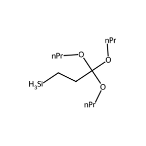 CCCOC(CC[SiH3])(OCCC)OCCC